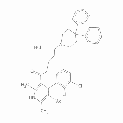 CC(=O)C1=C(C)NC(C)=C(C(=O)CCCCN2CCC(c3ccccc3)(c3ccccc3)CC2)C1c1cccc(Cl)c1Cl.Cl